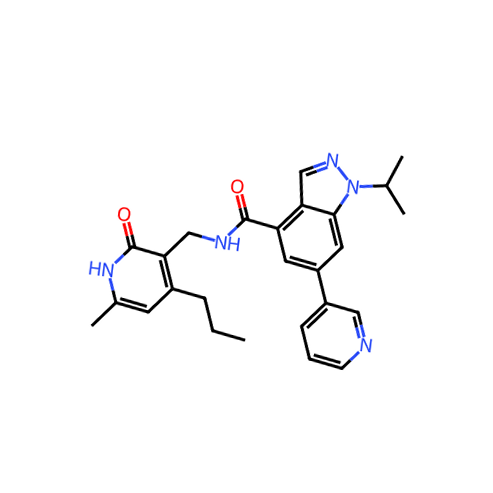 CCCc1cc(C)[nH]c(=O)c1CNC(=O)c1cc(-c2cccnc2)cc2c1cnn2C(C)C